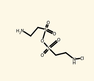 NCCS(=O)(=O)OS(=O)(=O)CCNCl